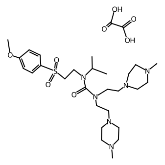 COc1ccc(S(=O)(=O)CCN(C(=O)N(CCN2CCN(C)CC2)CCN2CCN(C)CC2)C(C)C)cc1.O=C(O)C(=O)O